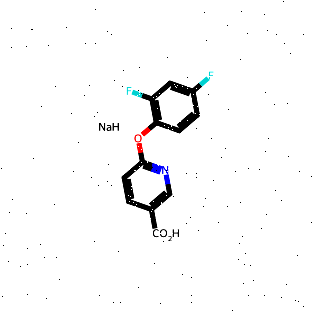 O=C(O)c1ccc(Oc2ccc(F)cc2F)nc1.[NaH]